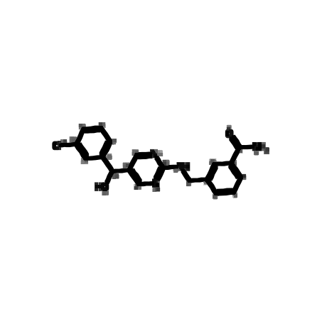 NC(=O)c1cccc(CNc2ncc(C(O)c3cccc(Cl)c3)cn2)c1